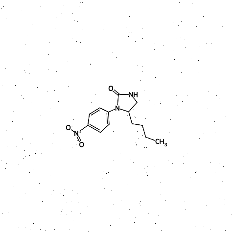 CCCCC1CNC(=O)N1c1ccc([N+](=O)[O-])cc1